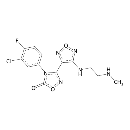 CNCCNc1nonc1-c1noc(=O)n1-c1ccc(F)c(Cl)c1